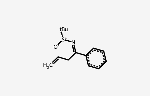 C=CC/C(=N\[S@@+]([O-])C(C)(C)C)c1ccccc1